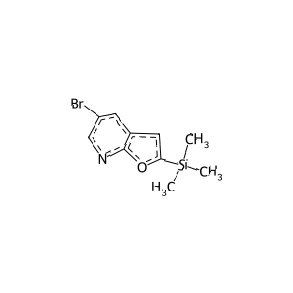 C[Si](C)(C)c1cc2cc(Br)cnc2o1